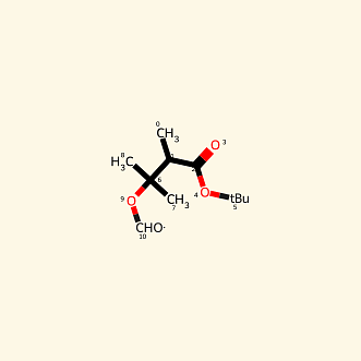 CC(C(=O)OC(C)(C)C)C(C)(C)O[C]=O